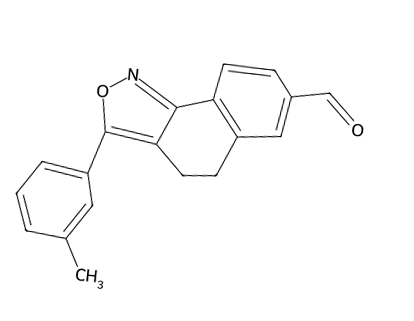 Cc1cccc(-c2onc3c2CCc2cc(C=O)ccc2-3)c1